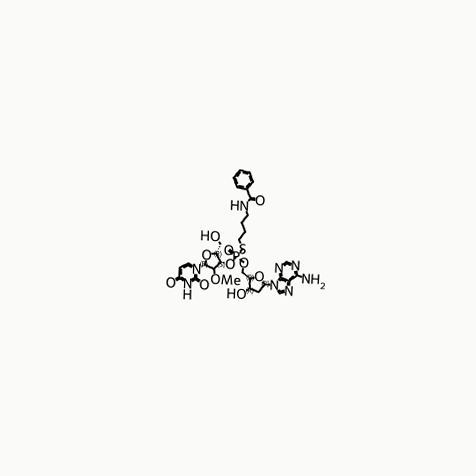 COC1[C@@H](OP(=O)(OC[C@H]2O[C@@H](n3cnc4c(N)ncnc43)C[C@H]2O)SCCCCNC(=O)c2ccccc2)[C@@H](CO)O[C@H]1n1ccc(=O)[nH]c1=O